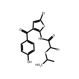 CCc1cc(C(=O)c2ccc(O)cc2)c(NC(=O)C(CC)SC(C)C(=O)O)s1